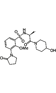 [CH2][C@H](NS(=O)(=O)c1cccc(N2CCCC2=O)c1OC)C(=O)N1CCC(O)CC1